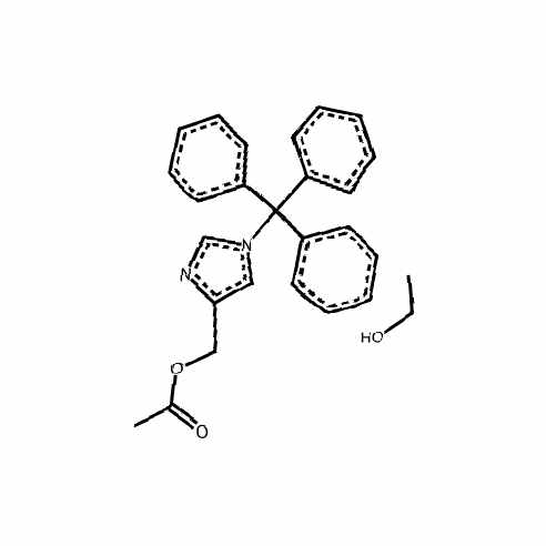 CC(=O)OCc1cn(C(c2ccccc2)(c2ccccc2)c2ccccc2)cn1.CCO